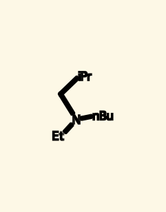 [CH2]CN(CCCC)CC(C)C